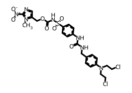 Cn1c(COC(=O)NS(=O)(=O)c2ccc(NC(=O)NCc3ccc(N(CCCl)CCCl)cc3)cc2)cnc1[N+](=O)[O-]